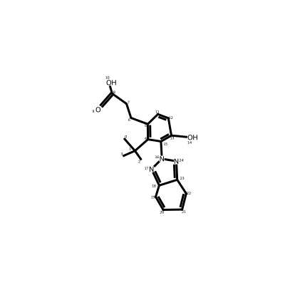 CC(C)(C)c1c(CCC(=O)O)ccc(O)c1-n1nc2ccccc2n1